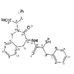 CC(C)CC(C(=O)O)N1Cc2ccccc2CC(NC(=O)C(S)Cc2ccccc2)C1=O